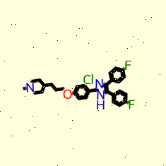 CN1CCC(CCCOc2ccc(-c3nc(-c4ccc(F)cc4)c(-c4ccc(F)cc4)[nH]3)c(Cl)c2)CC1